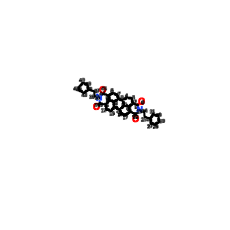 O=C1c2ccc3c4ccc5c6c(ccc(c7ccc(c2c37)C(=O)N1CCc1ccccc1)c64)C(=O)N(CCc1ccccc1)C5=O